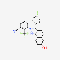 N#Cc1cccc(N2N=C3c4ccc(O)cc4CCC3C2c2ccc(F)cc2)c1C(F)(F)F